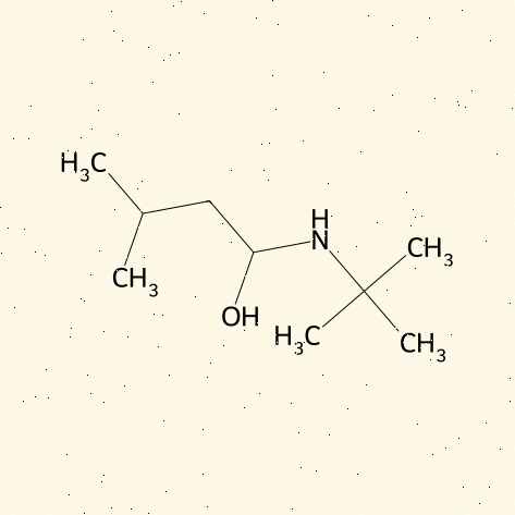 CC(C)CC(O)NC(C)(C)C